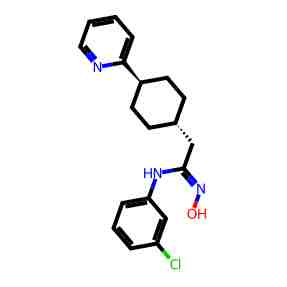 O/N=C(/C[C@H]1CC[C@H](c2ccccn2)CC1)Nc1cccc(Cl)c1